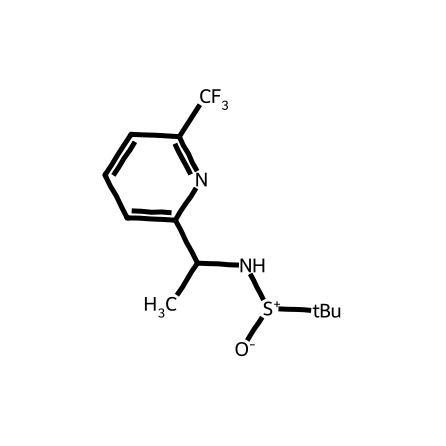 CC(N[S+]([O-])C(C)(C)C)c1cccc(C(F)(F)F)n1